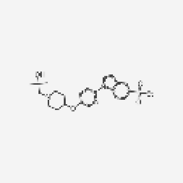 CCS(=O)(=O)c1ccc2c(ccn2-c2ccc(OC3CCN(CC(C)(C)O)CC3)cn2)c1